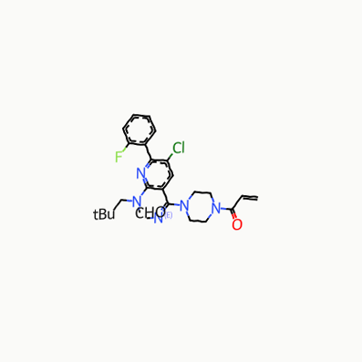 C=CC(=O)N1CCN(/C(=N/C)c2cc(Cl)c(-c3ccccc3F)nc2N(C=O)CC(C)(C)C)CC1